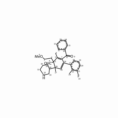 COCCC1(C=O)C(C)=C(C(=O)c2ccccc2)C(c2cccc(F)c2C)=CC1(C)C1CCCNC1